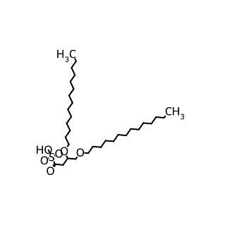 CCCCCCCCCCCCCCOCC(CC(=O)S(=O)(=O)O)OCCCCCCCCCCCCCC